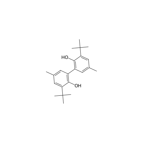 Cc1cc(-c2cc(C)cc(C(C)(C)C)c2O)c(O)c(C(C)(C)C)c1